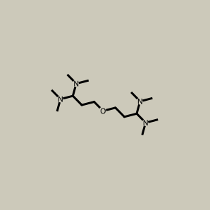 CN(C)C(CCOCCC(N(C)C)N(C)C)N(C)C